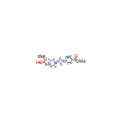 COC(=O)c1ccc(N2CC(N3CCN(CC(O)OC(C)(C)C)CC3)C2)nc1